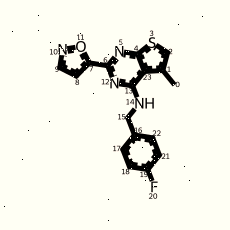 Cc1csc2nc(-c3ccno3)nc(NCc3ccc(F)cc3)c12